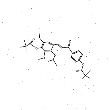 CCc1cc(C=CC(=O)c2ccc(OC(=O)C(C)(C)C)cc2)c(OC(C)C)c(OC)c1OC(=O)C(C)(C)C